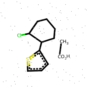 CC(=O)O.ClC1CCCCC1c1cccs1